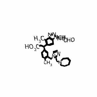 Cc1ccc(C(CC(=O)O)c2ccc3c(nnn3C)c2C)cc1Cn1ccnc1CN1CCCCCC1.O=CO